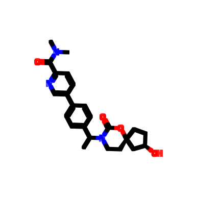 CC(c1ccc(-c2ccc(C(=O)N(C)C)nc2)cc1)N1CC[C@]2(CC[C@@H](O)C2)OC1=O